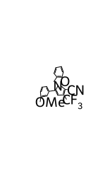 COc1cccc(-c2cc(C(F)(F)F)c(C#N)c(=O)n2Cc2ccccc2)c1